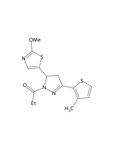 CCC(=O)N1N=C(c2sccc2C)CC1c1cnc(OC)s1